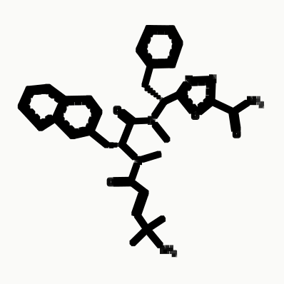 CN(C(=O)C=CC(C)(C)N)[C@H](Cc1ccc2ccccc2c1)C(=O)N(C)[C@H](Cc1ccccc1)c1nnc(C(N)=O)o1